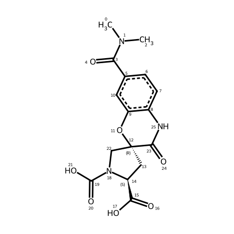 CN(C)C(=O)c1ccc2c(c1)O[C@@]1(C[C@@H](C(=O)O)N(C(=O)O)C1)C(=O)N2